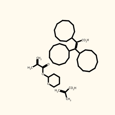 C=C(C)C(=O)O.C=C(C)C(=O)OC1CCCCO1.O=C(O)C(=C(C1CCCCCCCCC1)C1CCCCCCCCC1)C1CCCCCCCCC1